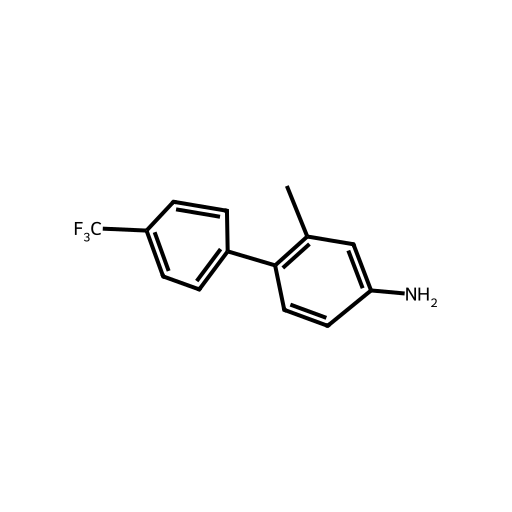 Cc1cc(N)ccc1-c1ccc(C(F)(F)F)cc1